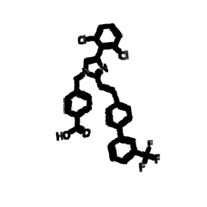 O=C(O)c1ccc(Cn2cc(-c3c(Cl)cccc3Cl)nc2C=Cc2ccc(-c3cccc(C(F)(F)F)c3)cc2)cc1